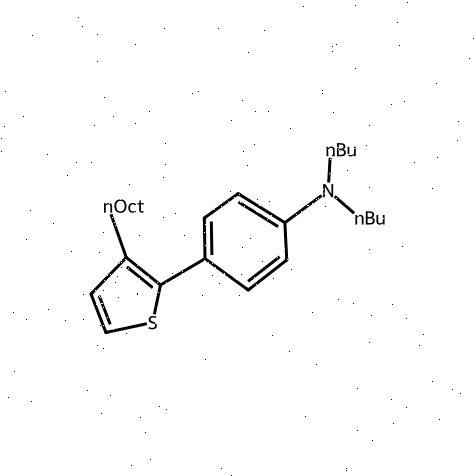 CCCCCCCCc1ccsc1-c1ccc(N(CCCC)CCCC)cc1